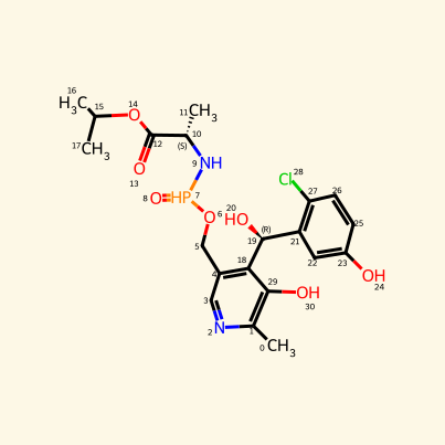 Cc1ncc(CO[PH](=O)N[C@@H](C)C(=O)OC(C)C)c([C@@H](O)c2cc(O)ccc2Cl)c1O